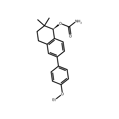 CCOc1ccc(-c2ccc3c(c2)CCC(C)(C)[C@H]3OC(N)=O)cc1